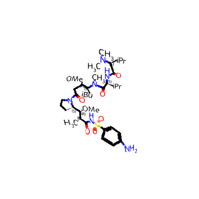 CCC(C)[C@@H]([C@@H](CC(=O)N1CCC[C@H]1[C@H](OC)[C@@H](C)C(=O)NS(=O)(=O)c1ccc(N)cc1)OC)N(C)C(=O)[C@@H](NC(=O)[C@H](C(C)C)N(C)C)C(C)C